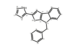 c1ccc(Cn2c3ccccc3c3cc(-c4nnn[nH]4)sc32)cc1